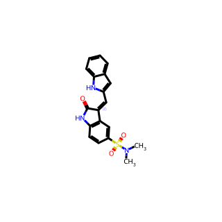 CN(C)S(=O)(=O)c1ccc2c(c1)/C(=C/c1cc3ccccc3[nH]1)C(=O)N2